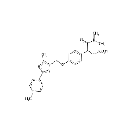 Cc1ccc(-c2nc(C)c(COc3ccc(C(CC(=O)O)C(=O)N(C)C)cc3)s2)cc1